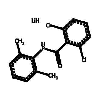 Cc1cccc(C)c1PC(=O)c1c(Cl)cccc1Cl.[LiH]